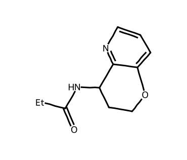 CCC(=O)NC1CCOc2cccnc21